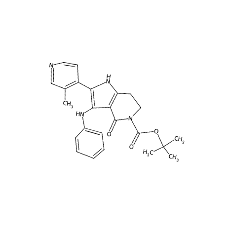 Cc1cnccc1-c1[nH]c2c(c1Nc1ccccc1)C(=O)N(C(=O)OC(C)(C)C)CC2